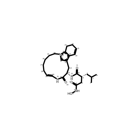 CC(C)C[C@H](CC(=O)NO)C(=O)N[C@H]1Cc2cn(c3c2C=CCC3)CCCCC/C=C/NC1=O